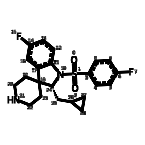 O=S(=O)(c1ccc(F)cc1)N1c2ccc(F)cc2C2(CCNCC2)[C@H]1CC1CC1